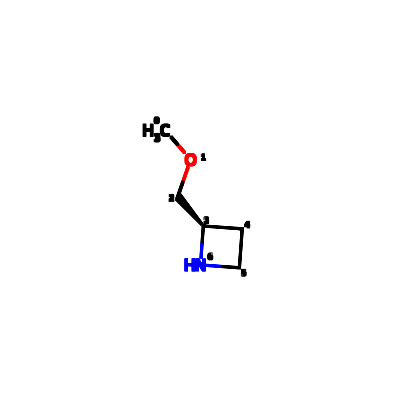 COC[C@H]1CCN1